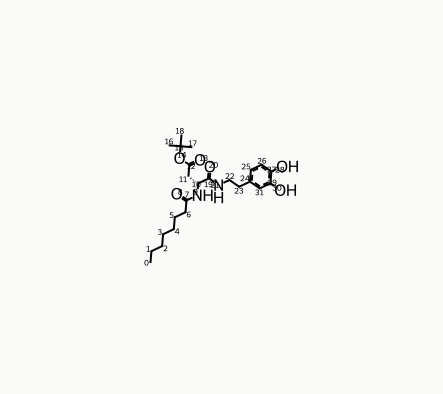 CCCCCCCC(=O)N[C@H](CC(=O)OC(C)(C)C)C(=O)NCCc1ccc(O)c(O)c1